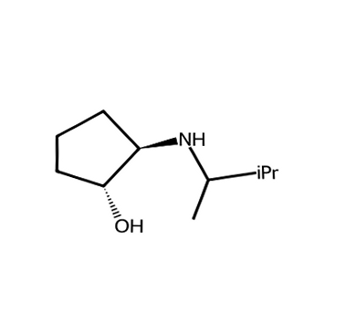 CC(C)C(C)N[C@@H]1CCC[C@H]1O